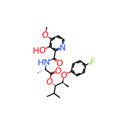 COc1ccnc(C(=O)N[C@@H](C)C(=O)O[C@@H](C(C)C)[C@H](C)Oc2ccc(F)cc2)c1O